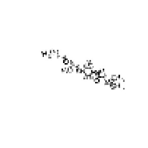 CCCCOCC(O)COc1ccc(NC(=O)CC[S+](C)C)cc1.[I-]